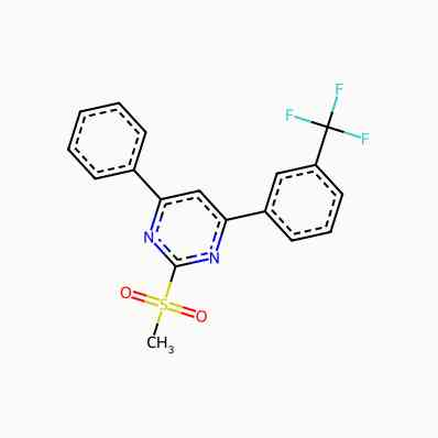 CS(=O)(=O)c1nc(-c2ccccc2)cc(-c2cccc(C(F)(F)F)c2)n1